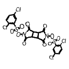 O=C1C2C(C(=O)N1OS(=O)(=O)c1cc(Cl)ccc1Cl)C1C(=O)N(OS(=O)(=O)c3cc(Cl)ccc3Cl)C(=O)C21